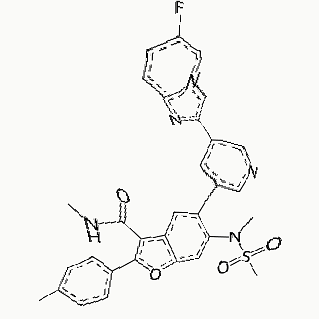 CNC(=O)c1c(-c2ccc(C)cc2)oc2cc(N(C)S(C)(=O)=O)c(-c3cncc(-c4cn5cc(F)ccc5n4)c3)cc12